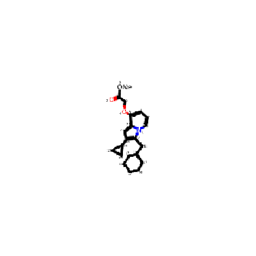 COC(=O)COc1cccn2c(CC3CCCCC3)c(C3CC3)cc12